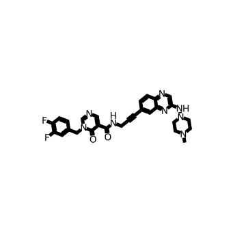 CN1CCN(Nc2cnc3ccc(C#CCNC(=O)c4cncn(Cc5ccc(F)c(F)c5)c4=O)cc3n2)CC1